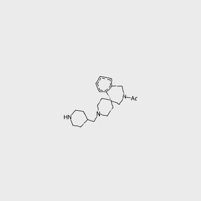 CC(=O)N1Cc2ccccc2C2(CCN(CC3CCNCC3)CC2)C1